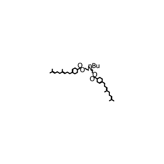 CCCCN(CCOC(=O)C1CC=C(CC/C=C(\C)CCC=C(C)C)CC1)CCOC(=O)C1CC=C(CC/C=C(\C)CCC=C(C)C)CC1